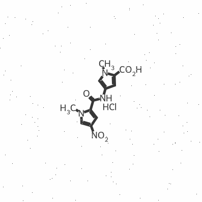 Cl.Cn1cc(NC(=O)c2cc([N+](=O)[O-])cn2C)cc1C(=O)O